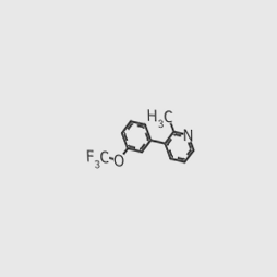 Cc1ncccc1-c1cccc(OC(F)(F)F)c1